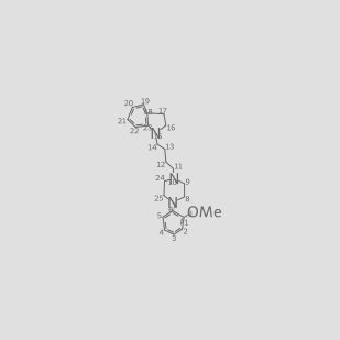 COc1ccccc1N1CCN(CCCCN2CCc3ccccc32)CC1